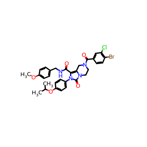 COc1ccc(CNC(=O)c2c3n(c(=O)n2-c2ccc(OC(C)C)cc2)CCN(C(=O)c2ccc(Br)c(Cl)c2)C3)cc1